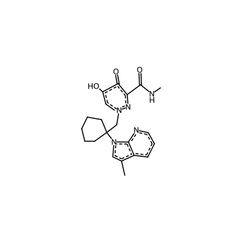 CNC(=O)c1nn(CC2(n3cc(C)c4cccnc43)CCCCC2)cc(O)c1=O